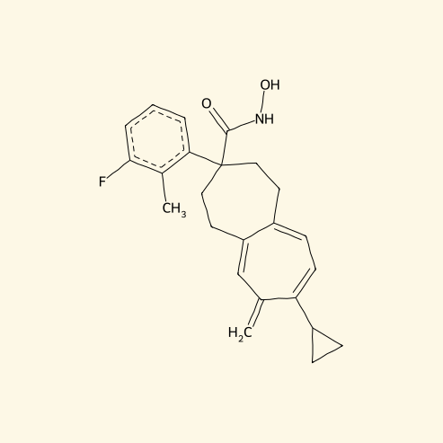 C=C1C=C2CCC(C(=O)NO)(c3cccc(F)c3C)CCC2=CC=C1C1CC1